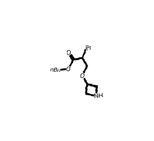 CCCCOC(=O)C(COC1CNC1)C(C)C